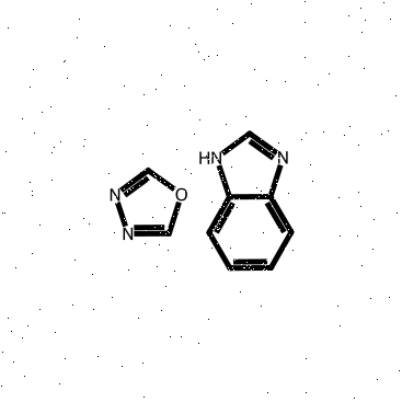 c1ccc2[nH]cnc2c1.c1nnco1